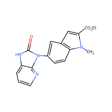 CCOC(=O)c1cc2cc(-n3c(=O)[nH]c4cccnc43)ccc2n1C